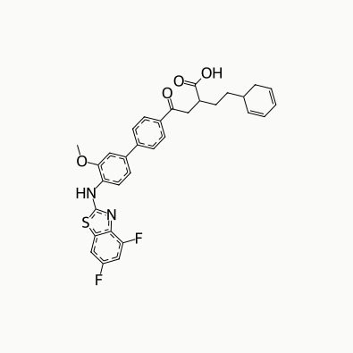 COc1cc(-c2ccc(C(=O)CC(CCC3C=CC=CC3)C(=O)O)cc2)ccc1Nc1nc2c(F)cc(F)cc2s1